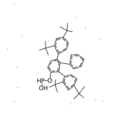 CC(C)(C)c1ccc(-c2ccc(OPO)c(-c3ccc(C(C)(C)C)cc3C(C)(C)C)c2-c2ccccc2)c(C(C)(C)C)c1